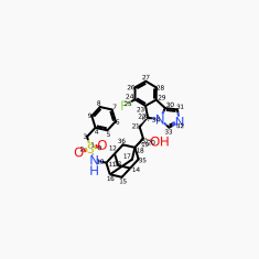 O=S(=O)(Cc1ccccc1)NC1C2CC3CC1CC([C@@H](O)C[C@H]1c4c(F)cccc4-c4cncn41)(C3)C2